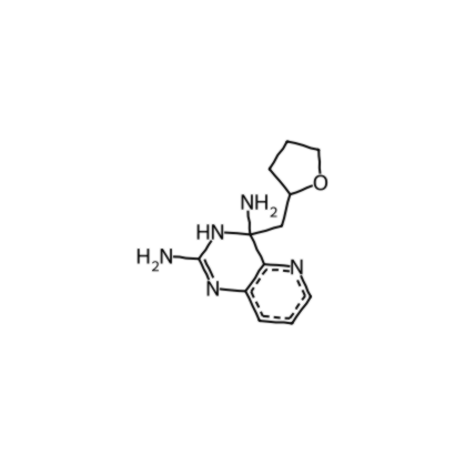 NC1=Nc2cccnc2C(N)(CC2CCCO2)N1